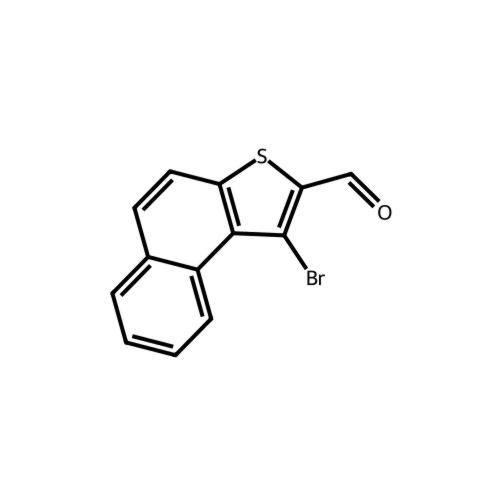 O=Cc1sc2ccc3ccccc3c2c1Br